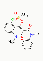 CCN(C(=O)c1c(OS(C)(=O)=O)c2c(Cl)cccc2n(C)c1=O)c1ccccc1